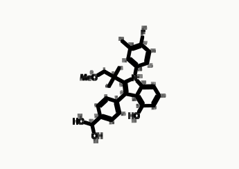 COCC(C)(C)c1c(-c2ccc(C(O)O)cc2)c2c(O)cccc2n1-c1ccc(F)c(C)c1